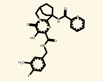 Cc1cc(CNC(=O)c2nc3n(c(=O)c2O)CC2CCC3(NC(=O)c3ccccn3)CC2)ccc1F